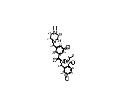 CCS(=O)(=O)c1ccc(Cl)cc1CNC(=O)c1cc(Cl)cc(CN2CCNCC2)c1